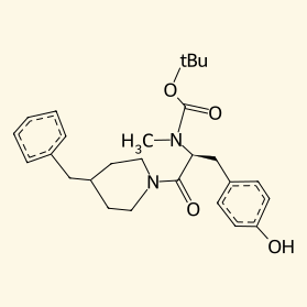 CN(C(=O)OC(C)(C)C)[C@@H](Cc1ccc(O)cc1)C(=O)N1CCC(Cc2ccccc2)CC1